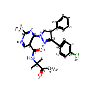 COC(=O)C(C)(C)NC(=O)c1cnc(C(F)(F)F)nc1N1CC(c2ccccc2)C(c2ccc(Cl)cc2)=N1